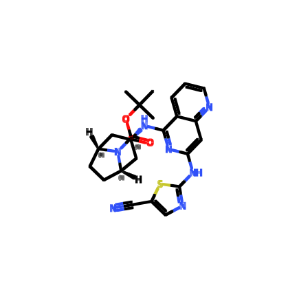 CC(C)(C)OC(=O)N1[C@@H]2CC[C@H]1C[C@H](Nc1nc(Nc3ncc(C#N)s3)cc3ncccc13)C2